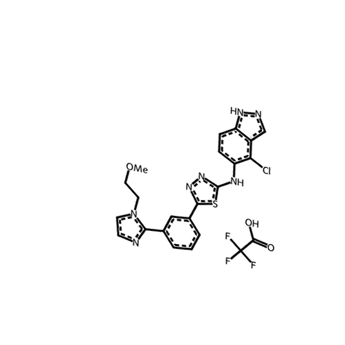 COCCn1ccnc1-c1cccc(-c2nnc(Nc3ccc4[nH]ncc4c3Cl)s2)c1.O=C(O)C(F)(F)F